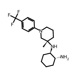 C[C@]1(N[C@@H]2CCCC[C@H]2N)CCCN(c2ccc(C(F)(F)F)cc2)C1